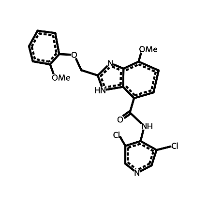 COc1ccccc1OCc1nc2c(OC)ccc(C(=O)Nc3c(Cl)cncc3Cl)c2[nH]1